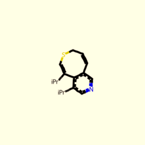 CC(C)/C1=C/SC/C=C\c2cncc(C(C)C)c21